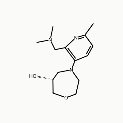 Cc1ccc(N2CCOC[C@H](O)C2)c(CN(C)C)n1